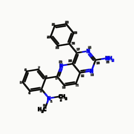 CN(C)c1ccccc1-c1ccc2nc(N)nc(-c3ccccc3)c2n1